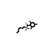 C=C/C=C\C=C\P(C)(=O)C(=O)c1c(C)cc(C)cc1C